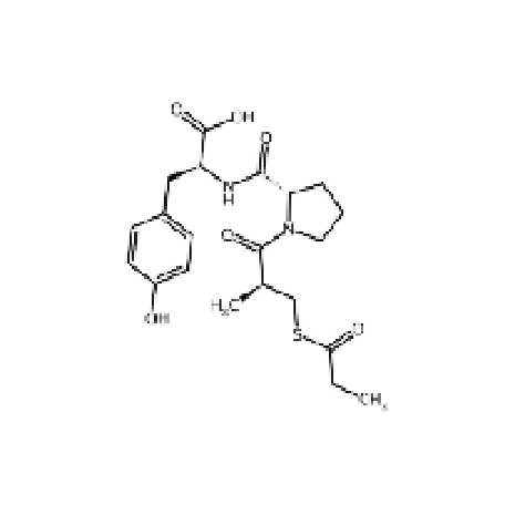 CCC(=O)SC[C@@H](C)C(=O)N1CCC[C@H]1C(=O)N[C@@H](Cc1ccc(O)cc1)C(=O)O